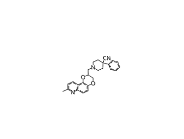 Cc1ccc2c3c(ccc2n1)OCC(CN1CCC(C#N)(c2ccccc2)CC1)O3